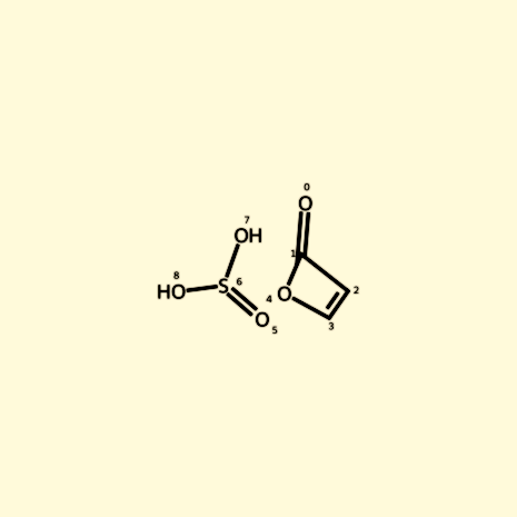 O=C1C=CO1.O=S(O)O